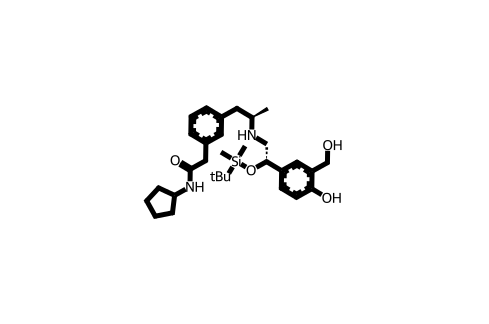 C[C@H](Cc1cccc(CC(=O)NC2CCCC2)c1)NC[C@@H](O[Si](C)(C)C(C)(C)C)c1ccc(O)c(CO)c1